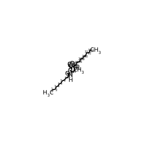 CCCCCCCCCCCC(=O)NC(CC)OC(CC)NC(=O)CCCCCCCCCCC